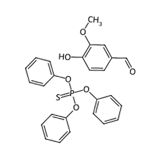 COc1cc(C=O)ccc1O.S=P(Oc1ccccc1)(Oc1ccccc1)Oc1ccccc1